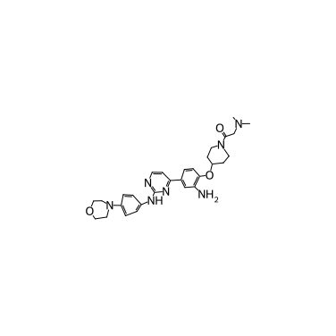 CN(C)CC(=O)N1CCC(Oc2ccc(-c3ccnc(Nc4ccc(N5CCOCC5)cc4)n3)cc2N)CC1